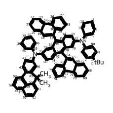 CC(C)(C)c1ccc(N(c2ccccc2)c2ccc3c(-c4cc5ccccc5c5ccccc45)c4cc(N(c5ccccc5)c5ccc6c(c5)C(C)(C)c5cccc7cccc-6c57)ccc4c(-c4cc5ccccc5c5ccccc45)c3c2)cc1